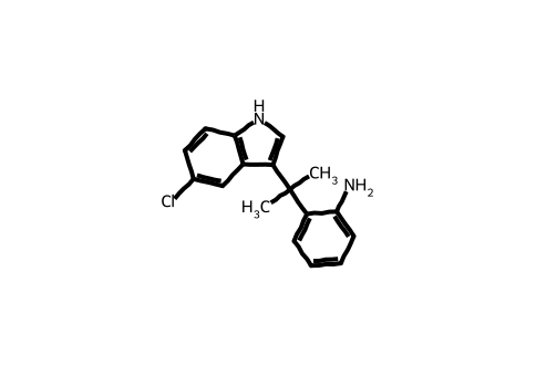 CC(C)(c1ccccc1N)c1c[nH]c2ccc(Cl)cc12